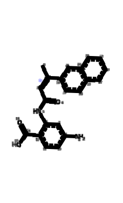 C/C(=C/C(=O)Nc1cc(N)ccc1C(=O)O)c1ccc2ccccc2c1